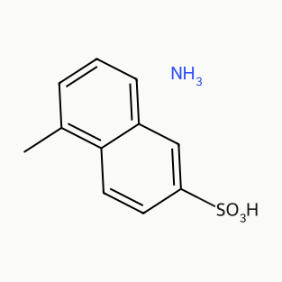 Cc1cccc2cc(S(=O)(=O)O)ccc12.N